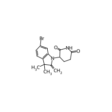 C=C1N(C2CCC(=O)NC2=O)c2cc(Br)ccc2C1(C)C